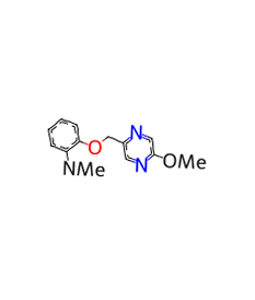 CNc1ccccc1OCc1cnc(OC)cn1